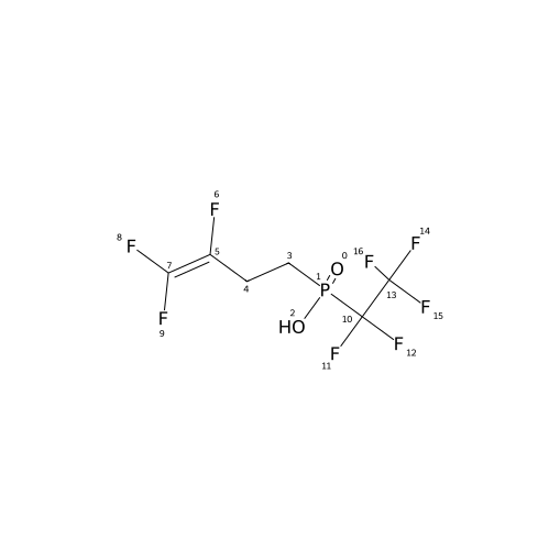 O=P(O)(CCC(F)=C(F)F)C(F)(F)C(F)(F)F